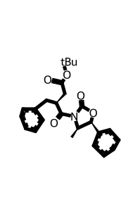 C[C@@H]1[C@H](c2ccccc2)OC(=O)N1C(=O)[C@H](CC(=O)OC(C)(C)C)Cc1ccccc1